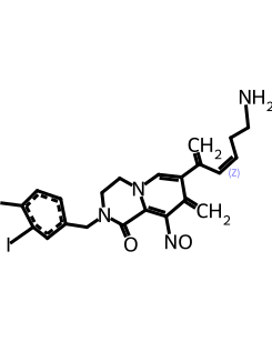 C=C(/C=C\CCN)C1=CN2CCN(Cc3ccc(I)c(I)c3)C(=O)C2=C(N=O)C1=C